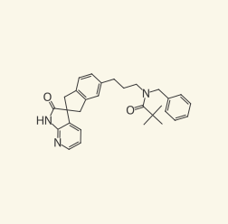 CC(C)(C)C(=O)N(CCCc1ccc2c(c1)CC1(C2)C(=O)Nc2ncccc21)Cc1ccccc1